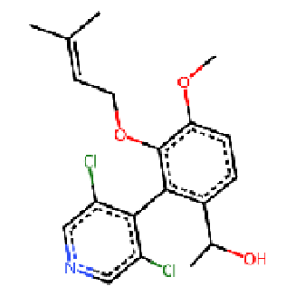 COc1ccc(C(C)O)c(-c2c(Cl)cncc2Cl)c1OCC=C(C)C